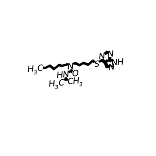 CCCCCCCN(CCCCCSc1ncnc2[nH]ncc12)C(=O)NC(C)C